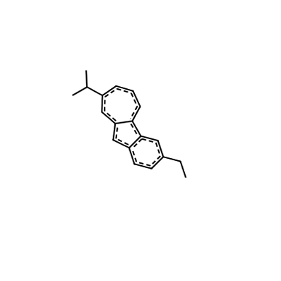 CCc1ccc2cc3cc(C(C)C)cccc-3c2c1